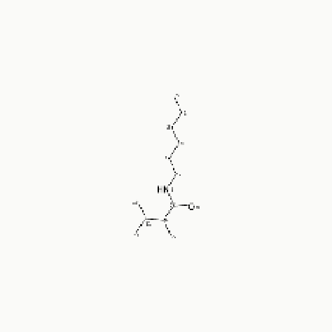 CCCCCCNC(=O)C(C)C(C)C